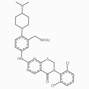 CC(=O)NCc1cc(Nc2ncc3c(n2)SCN(c2c(Cl)cccc2Cl)C3=O)ccc1N1CCC(N(C)C)CC1